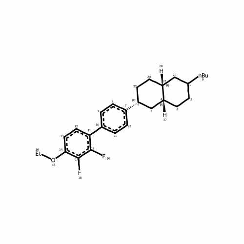 CCCCC1CC[C@@H]2C[C@H](c3ccc(-c4ccc(OCC)c(F)c4F)cc3)CC[C@@H]2C1